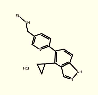 CCNCc1ccc(-c2ccc3[nH]ncc3c2C2CC2)nc1.Cl